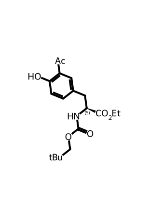 CCOC(=O)[C@H](Cc1ccc(O)c(C(C)=O)c1)NC(=O)OCC(C)(C)C